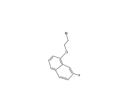 Fc1ccc2cccc(OCCBr)c2c1